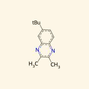 Cc1nc2ccc(C(C)(C)C)cc2nc1C